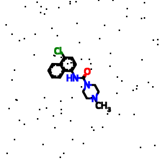 CN1CCN(C(=O)Nc2ccc(Cl)c3ccccc23)CC1